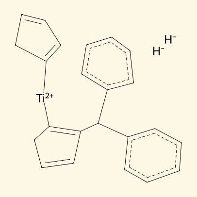 C1=CC[C]([Ti+2][C]2=C(C(c3ccccc3)c3ccccc3)C=CC2)=C1.[H-].[H-]